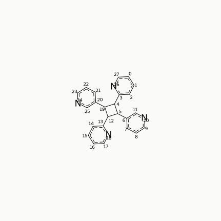 c1ccc(C2C(c3cccnc3)C(c3ccccn3)C2c2cccnc2)nc1